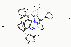 Cc1cc(C)c(NC2c3cccc4cccc(c34)C2Nc2c(C(c3ccccc3)c3ccccc3)cc(C(C)(C)C)cc2C(c2ccccc2)c2ccccc2)c(C)c1